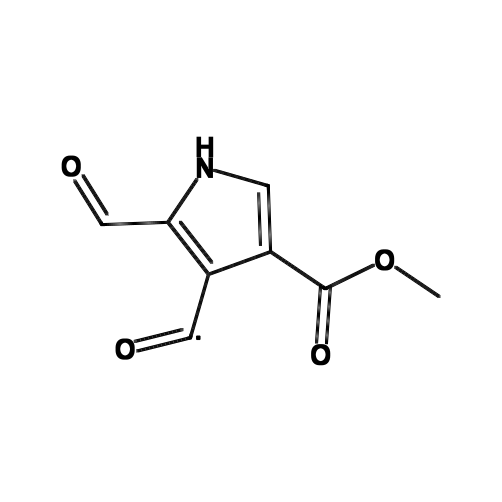 COC(=O)c1c[nH]c(C=O)c1[C]=O